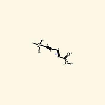 COC(=O)/C=C/C#C[Si](C)(C)C